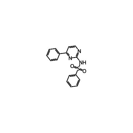 O=S(=O)(Nc1nccc(-c2ccccc2)n1)c1ccccc1